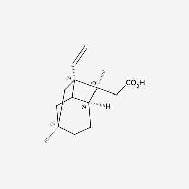 C=C[C@@]12C[C@@]3(C)CC[C@@H](C1C3)[C@]2(C)CC(=O)O